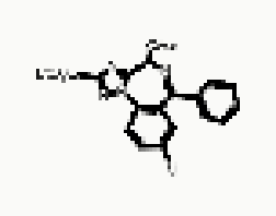 CCOC(=O)c1nc2n(n1)-c1ccc(Cl)cc1C(c1ccccc1)=NC2OC